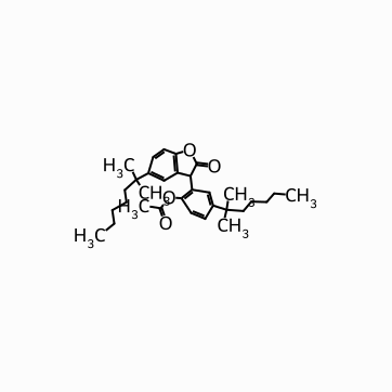 CCCCCC(C)(C)c1ccc(OC(C)=O)c(C2C(=O)Oc3ccc(C(C)(C)CCCCC)cc32)c1